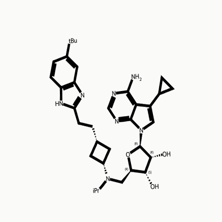 CC(C)N(C[C@H]1O[C@@H](n2cc(C3CC3)c3c(N)ncnc32)[C@H](O)[C@@H]1O)[C@H]1C[C@@H](CCc2nc3cc(C(C)(C)C)ccc3[nH]2)C1